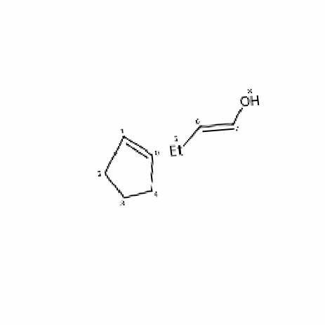 C1=CCCC1.CC/C=C/O